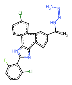 C=C(N/N=N\N)c1ccc2c(c1)c1cc(Cl)ccc1c1[nH]c(-c3c(F)cccc3Cl)nc21